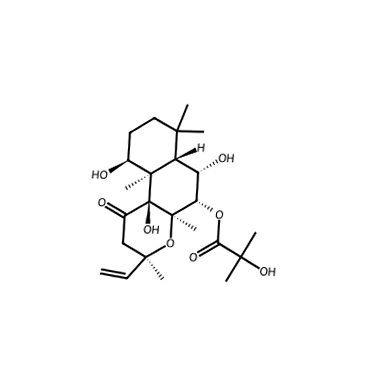 C=C[C@@]1(C)CC(=O)[C@]2(O)[C@@]3(C)[C@@H](O)CCC(C)(C)[C@@H]3[C@H](O)[C@H](OC(=O)C(C)(C)O)[C@@]2(C)O1